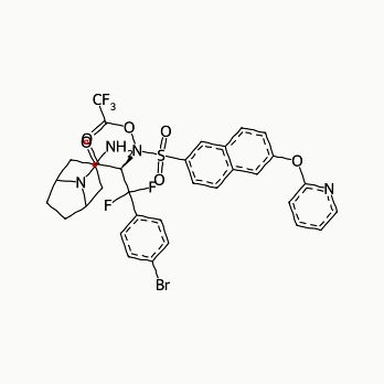 NC1CC2CCC(C1)N2C(=O)[C@@H](N(OC(=O)C(F)(F)F)S(=O)(=O)c1ccc2cc(Oc3ccccn3)ccc2c1)C(F)(F)c1ccc(Br)cc1